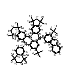 CC(C)(C)c1cc2c3c(c1)N(c1cc(C(C)(C)C)c4sc5ccccc5c4c1)c1cc4c(cc1B3c1cc3c(cc1N2c1ccc2c(c1)C(C)(C)CCC2(C)C)C(C)(C)CCC3(C)C)C(C)(C)CC4(C)C